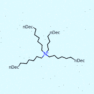 CCCCCCCCCCCCCCCC[N+](CCCCCCCCCCCCCC)(CCCCCCCCCCCCCCCC)CCCCCCCCCCCCCCCC